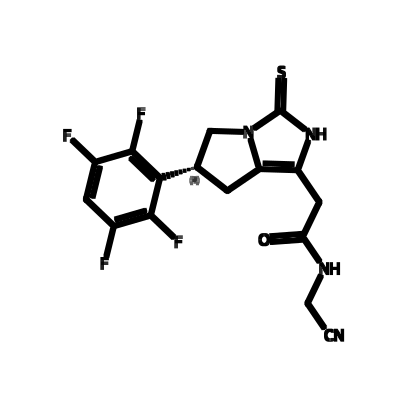 N#CCNC(=O)Cc1[nH]c(=S)n2c1C[C@H](c1c(F)c(F)cc(F)c1F)C2